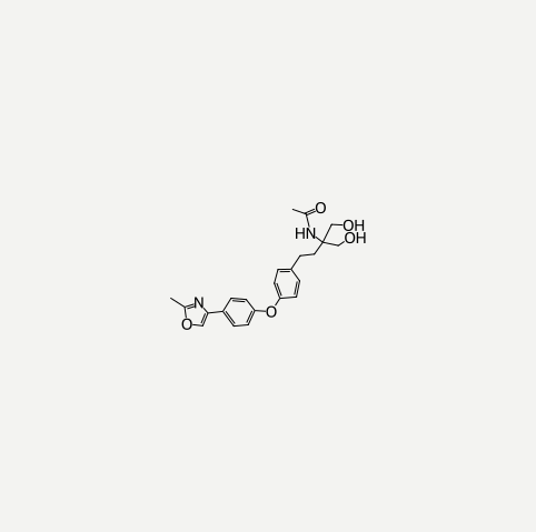 CC(=O)NC(CO)(CO)CCc1ccc(Oc2ccc(-c3coc(C)n3)cc2)cc1